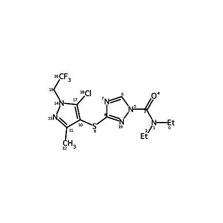 CCN(CC)C(=O)n1cnc(Sc2c(C)nn(CC(F)(F)F)c2Cl)n1